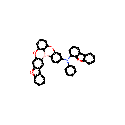 c1ccc(N(c2ccc3c(c2)Oc2cccc4c2B3c2cc3c(cc2O4)oc2ccccc23)c2cccc3c2oc2ccccc23)cc1